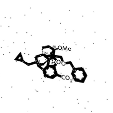 CO[C@]12CC[C@@]3(C[C@@H]1COCc1ccccc1)C1Cc4ccc(C(=O)O)c5c4[C@@]3(CCN1CC1CC1)[C@H]2O5